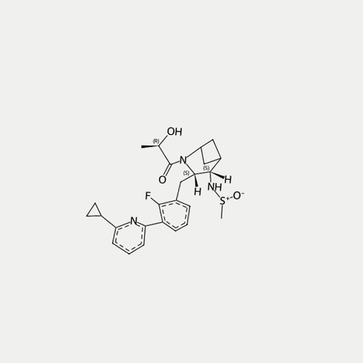 C[C@@H](O)C(=O)N1C2CC(C2)[C@H](N[S+](C)[O-])[C@@H]1Cc1cccc(-c2cccc(C3CC3)n2)c1F